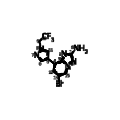 Nc1nc2c(-c3cnn(CC(F)(F)F)c3)cc(Br)cn2n1